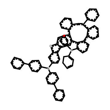 C1=CCCC(N(c2cccc3oc4cc(N(c5ccc(-c6ccccc6)cc5)c5ccc(-c6ccccc6)cc5)ccc4c23)c2cccc3c4ccccc4c(-c4ccccc4)cc4ccccc4c4ccccc4c23)=C1